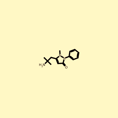 Cn1c(CC(C)(C)N)cc(=O)n1-c1ccccc1